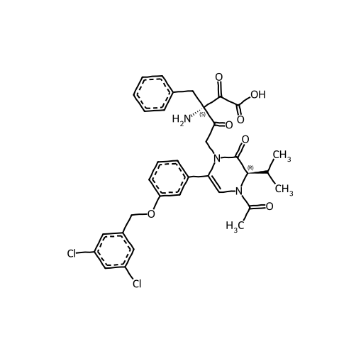 CC(=O)N1C=C(c2cccc(OCc3cc(Cl)cc(Cl)c3)c2)N(CC(=O)[C@@](N)(Cc2ccccc2)C(=O)C(=O)O)C(=O)[C@H]1C(C)C